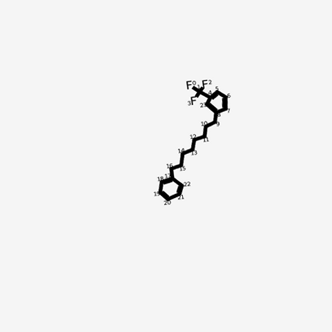 FC(F)(F)c1cccc(CCCCCCCCc2ccccc2)c1